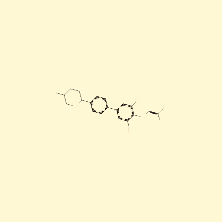 CC1CCC(c2ccc(-c3cc(F)c(OC=C(F)F)c(F)c3)cc2)OC1